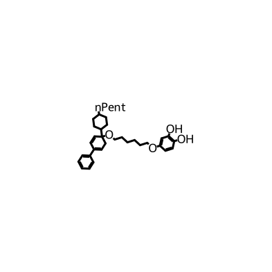 CCCCCC1CCC(C2(OCCCCCCOc3ccc(O)c(O)c3)C=CC(c3ccccc3)=CC2)CC1